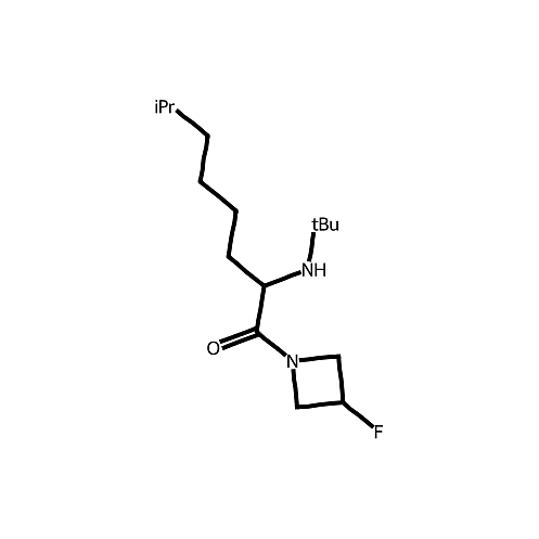 CC(C)CCCCC(NC(C)(C)C)C(=O)N1CC(F)C1